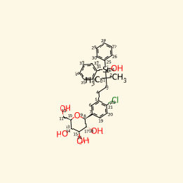 CC(C)(CCc1cc([C@@H]2O[C@H](CO)[C@@H](O)[C@H](O)[C@H]2O)ccc1Cl)[Si](O)(c1ccccc1)c1ccccc1